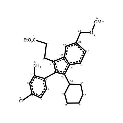 CCOC(=O)CCn1c(-c2ccc(Cl)cc2N)c(C2CCCCC2)c2ccc(COOC)cc21